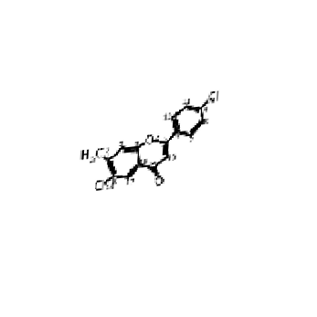 Cc1cc2oc(-c3ccc(Cl)cc3)cc(=O)c2cc1Cl